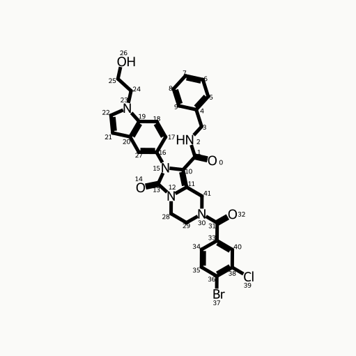 O=C(NCc1ccccc1)c1c2n(c(=O)n1-c1ccc3c(ccn3CCO)c1)CCN(C(=O)c1ccc(Br)c(Cl)c1)C2